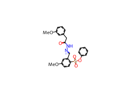 COc1cccc(CC(=O)N/N=C/c2cc(OC)ccc2S(=O)(=O)Oc2ccccc2)c1